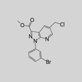 COC(=O)c1nn(-c2cccc(Br)c2)c2ncc(CCl)cc12